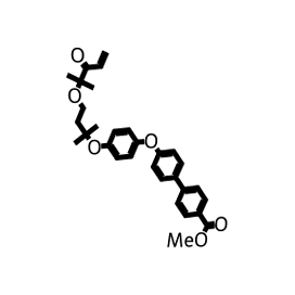 C=CC(=O)C(C)(C)OCCC(C)(C)Oc1ccc(Oc2ccc(-c3ccc(C(=O)OC)cc3)cc2)cc1